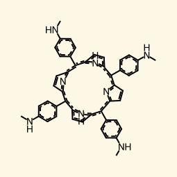 CNc1ccc(-c2c3nc(c(-c4ccc(NC)cc4)c4ccc([nH]4)c(-c4ccc(NC)cc4)c4nc(c(-c5ccc(NC)cc5)c5ccc2[nH]5)C=C4)C=C3)cc1